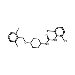 CC(C)c1cccc(C(C)C)c1NC(=O)NC1CCC(OCc2c(F)cccc2F)CC1